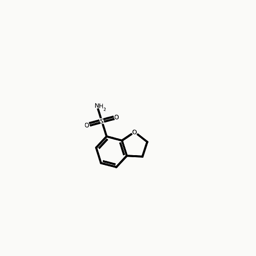 NS(=O)(=O)c1cccc2c1OCC2